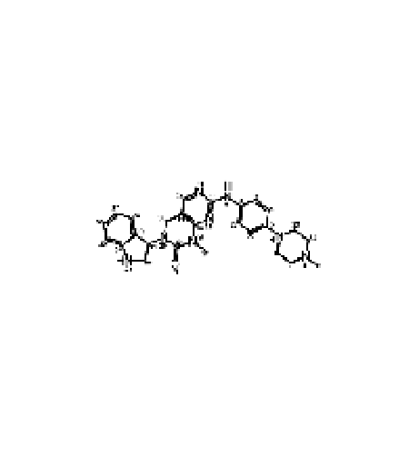 CN1CCN(c2ccc(Nc3ncc4c(n3)N(C)C(=O)N(C3CNc5ccccc53)C4)cc2)CC1